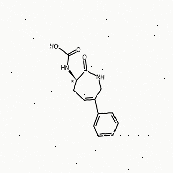 O=C(O)N[C@@H]1CC=C(c2ccccc2)CNC1=O